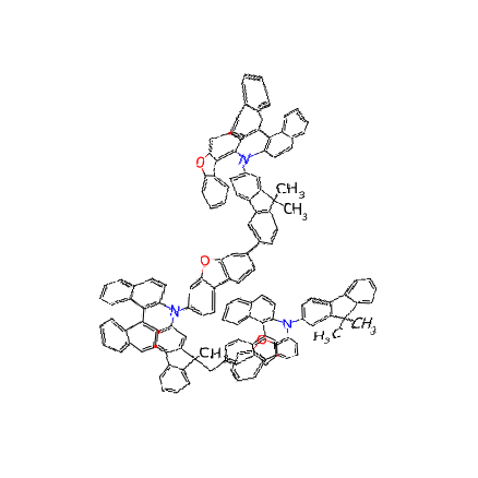 CC1(C)c2ccccc2-c2ccc(N(c3ccc4ccccc4c3-c3cccc4cc(CC5(C)c6ccccc6-c6ccc(N(c7ccc8c(c7)oc7cc(-c9ccc%10c(c9)-c9ccc(N(c%11ccc%12ccccc%12c%11-c%11cccc%12ccccc%11%12)c%11cccc%12oc%13ccccc%13c%11%12)cc9C%10(C)C)ccc78)c7ccc8ccccc8c7-c7cccc8ccccc78)cc65)ccc34)c3cccc4c3oc3ccccc34)cc21